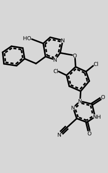 N#Cc1nn(-c2cc(Cl)c(Oc3ncc(O)c(Cc4ccccc4)n3)c(Cl)c2)c(=O)[nH]c1=O